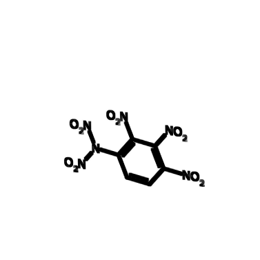 O=[N+]([O-])c1ccc(N([N+](=O)[O-])[N+](=O)[O-])c([N+](=O)[O-])c1[N+](=O)[O-]